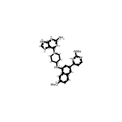 CNc1nccc(-c2cc(NC3CCN(c4nc(N)nc5[nH]cnc45)CC3)c3cc(OC)ccc3c2)n1